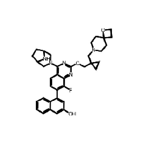 Oc1cc(-c2ccc3c(N4CC5CCC(C4)N5)nc(OCC4(CN5CCC6(CCO6)CC5)CC4)nc3c2F)c2ccccc2c1